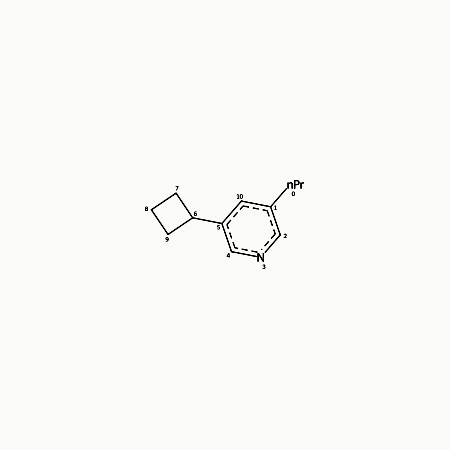 CCCc1cncc(C2CCC2)c1